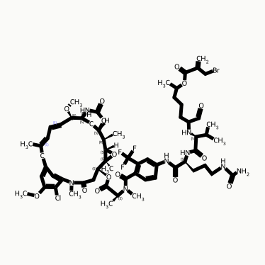 C=C(CBr)C(=O)OC(C)CCCC(C=O)N[C@H](C(=O)N[C@@H](CCCNC(N)=O)C(=O)Nc1ccc(C(=O)N(C)[C@@H](C)C(=O)O[C@H]2CC(=O)N(C)c3cc(cc(OC)c3Cl)C/C(C)=C/C=C/[C@@H](OC)[C@@]3(O)C[C@H](OC(=O)N3)[C@@H](C)[C@@H]3O[C@@]23C)c(C(F)(F)F)c1)C(C)C